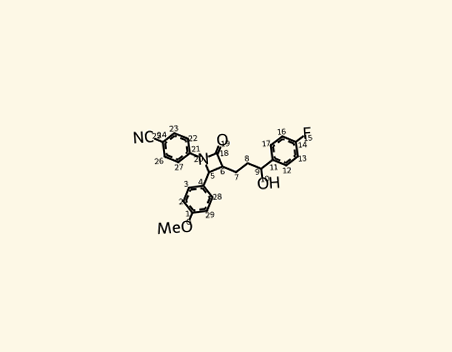 COc1ccc(C2C(CCC(O)c3ccc(F)cc3)C(=O)N2c2ccc(C#N)cc2)cc1